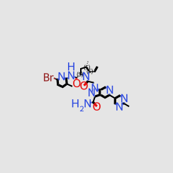 C=C[C@@H]1[C@@H](C)C[C@@H](C(=O)Nc2nc(Br)ccc2C)N1C(=O)Cn1nc(C(N)=O)c2cc(-c3cnc(C)nc3)ncc21